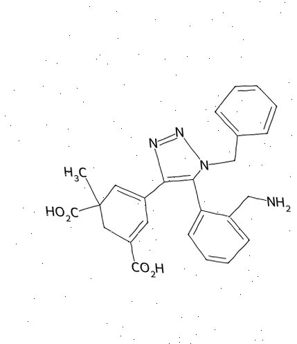 CC1(C(=O)O)C=C(c2nnn(Cc3ccccc3)c2-c2ccccc2CN)C=C(C(=O)O)C1